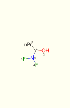 CCCC(O)N(F)F